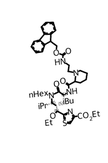 CCCCCCN(C(=O)[C@@H](NC(=O)C1CCCCN1CCNC(=O)OCC1c2ccccc2-c2ccccc21)[C@@H](C)CC)[C@H](C[C@@H](OCC)c1nc(C(=O)OCC)cs1)C(C)C